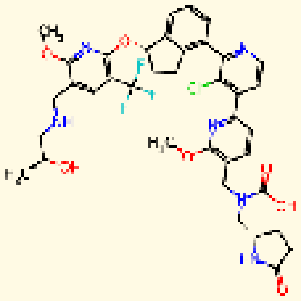 COc1nc(-c2ccnc(-c3cccc4c3CC[C@@H]4Oc3nc(OC)c(CNC[C@H](C)O)cc3C(F)(F)F)c2Cl)ccc1CN(C[C@@H]1CCC(=O)N1)C(=O)O